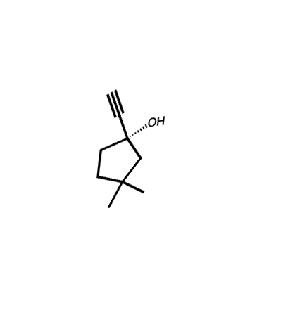 C#C[C@]1(O)CCC(C)(C)C1